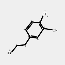 CC(C)CCc1ccc(C(F)(F)F)c(Cl)c1